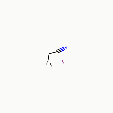 CCC#N.P